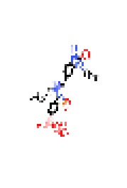 CC(C)n1c(=O)[nH]c2ccc(/C=N/N(C)C3=NS(=O)(=O)c4cc(B(O)O)ccc43)cc21